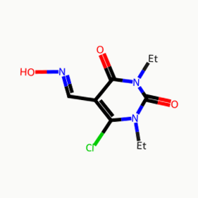 CCn1c(Cl)c(/C=N/O)c(=O)n(CC)c1=O